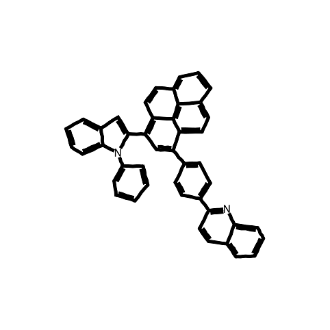 c1ccc(-n2c(-c3cc(-c4ccc(-c5ccc6ccccc6n5)cc4)c4ccc5cccc6ccc3c4c56)cc3ccccc32)cc1